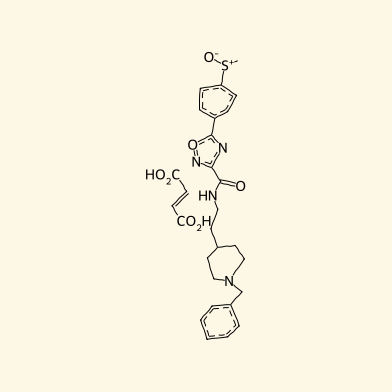 C[S+]([O-])c1ccc(-c2nc(C(=O)NCCC3CCN(Cc4ccccc4)CC3)no2)cc1.O=C(O)/C=C/C(=O)O